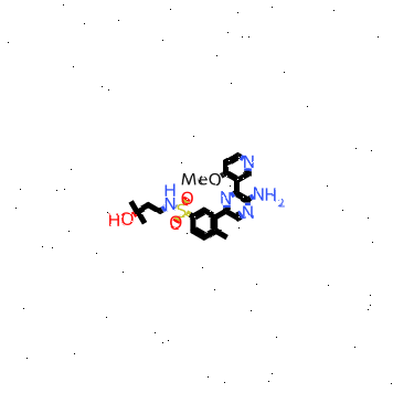 COc1ccncc1-c1nc(-c2cc(S(=O)(=O)NCCC(C)(C)O)ccc2C)cnc1N